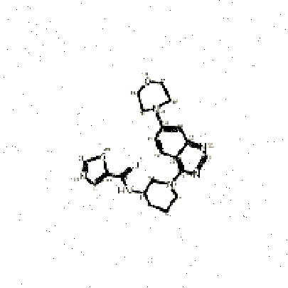 O=C(NC1CCCN(c2ncnc3cc(N4CCOCC4)ccc23)C1)c1cncs1